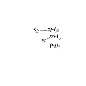 P[S-].P[S-].[Pd+2]